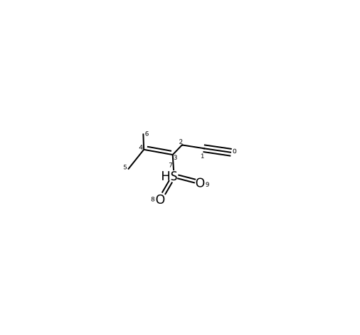 C#CCC(=C(C)C)[SH](=O)=O